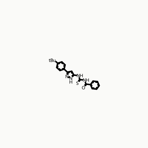 CC(C)(C)c1ccc(-c2cc(NC(=S)NC(=O)c3ccccc3)[nH]n2)cc1